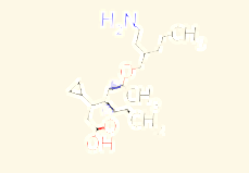 C=C/C=C(\C=C(/C)OCC(CCC)CCN)C(CC(=O)O)C1CC1